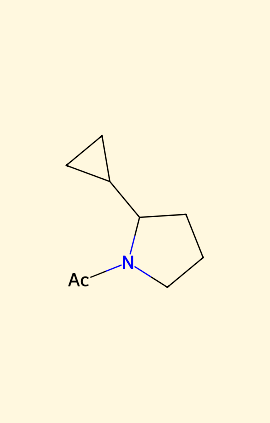 CC(=O)N1CCCC1C1CC1